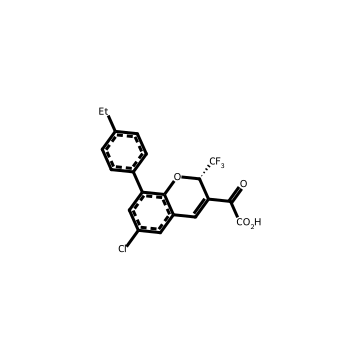 CCc1ccc(-c2cc(Cl)cc3c2O[C@H](C(F)(F)F)C(C(=O)C(=O)O)=C3)cc1